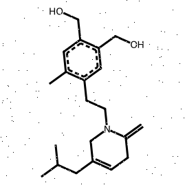 C=C1CC=C(CC(C)C)CN1CCc1cc(CO)c(CO)cc1C